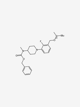 CN(C(=O)OCc1ccccc1)C1CCN(c2cccc(CO[SiH](C)C(C)(C)C)c2F)CC1